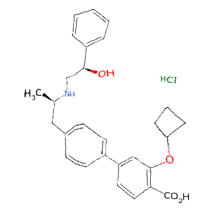 C[C@H](Cc1ccc(-c2ccc(C(=O)O)c(OC3CCC3)c2)cc1)NC[C@H](O)c1ccccc1.Cl